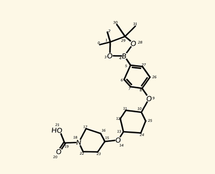 CC1(C)OB(c2ccc(OC3CCC(OC4CCN(C(=O)O)CC4)CC3)cc2)OC1(C)C